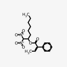 CC=C(C(=O)OC(CCCCCC)C([N+](=O)[O-])[N+](=O)[O-])c1ccccc1